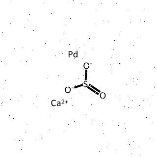 O=S([O-])[O-].[Ca+2].[Pd]